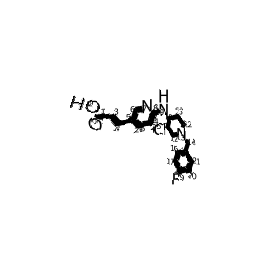 O=C(O)C=Cc1cnc(NC2CCN(Cc3ccc(F)cc3)CC2)c(Cl)c1